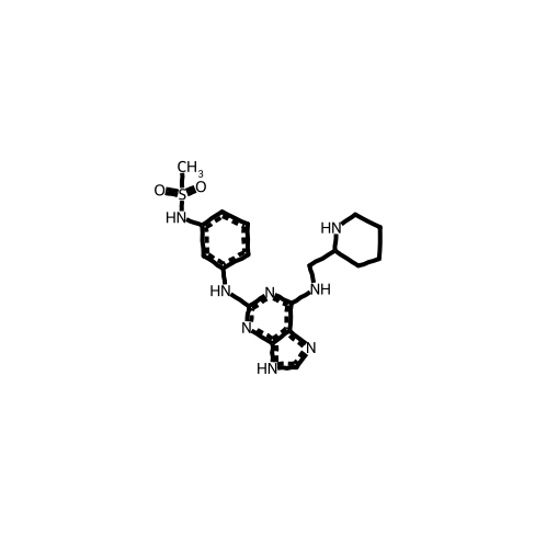 CS(=O)(=O)Nc1cccc(Nc2nc(NCC3CCCCN3)c3nc[nH]c3n2)c1